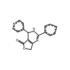 O=C1OCC2=C1C(c1ccncc1)NC(c1ccccc1)=N2